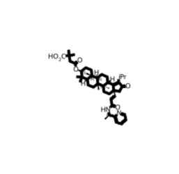 CC(C)C1=C2[C@H]3CC[C@@H]4[C@@]5(C)CC[C@H](OC(=O)CC(C)(C)C(=O)O)C(C)(C)[C@@H]5CC[C@@]4(C)[C@]3(C)CC[C@@]2(C=CC(=O)N[C@H](C)c2ccccn2)CC1=O